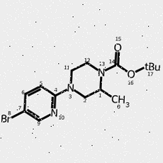 CC1CN(c2ccc(Br)cn2)CCN1C(=O)OC(C)(C)C